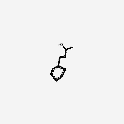 CC([O])/C=C/c1ccccc1